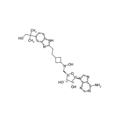 CC(C)(CO)c1ccc2[nH]c(CCC3CC(N(O)C[C@H]4O[C@@H](n5cnc6c(N)ncnc65)[C@H](O)[C@@H]4O)C3)nc2c1